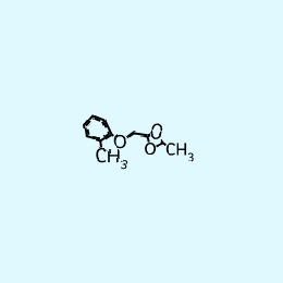 Cc1ccccc1OCC1OC(C)O1